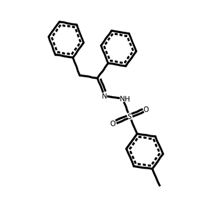 Cc1ccc(S(=O)(=O)NN=C(Cc2ccccc2)c2ccccc2)cc1